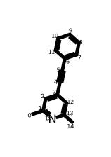 Cc1cc(C#Cc2ccccc2)cc(C)n1